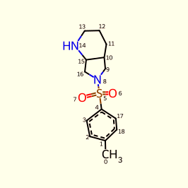 Cc1ccc(S(=O)(=O)N2CC3CCCNC3C2)cc1